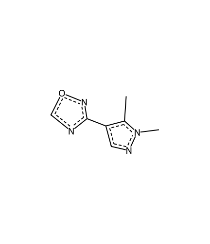 Cc1c(-c2ncon2)cnn1C